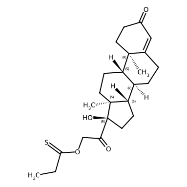 CCC(=S)OCC(=O)[C@@]1(O)CC[C@H]2[C@@H]3CCC4=CC(=O)CC[C@]4(C)[C@H]3CC[C@@]21C